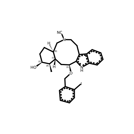 C[C@@H]1[C@H]2C[C@H](OCc3ccccc3I)c3[nH]c4ccccc4c3CCN(C#N)C[C@@H]2CC[C@@H]1O